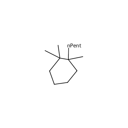 CCCCCC1(C)CCCCC1(C)C